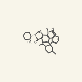 CC1CCC(C(C)C)C(c2cccc(C#N)c2)(c2cc3c(=O)n([C@H]4CCCC[C@@H]4O)cnc3c3c2C=CCN3C)C1